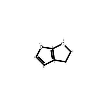 [CH]1COc2occc21